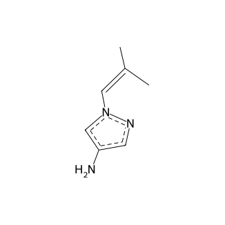 CC(C)=Cn1cc(N)cn1